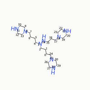 C(CCN(CCCCN1CCNCC1)NCCCN1CCNCC1)CN1CCNCC1